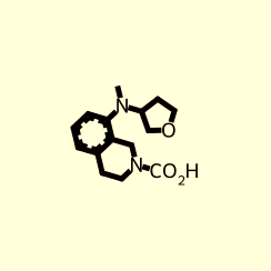 CN(c1cccc2c1CN(C(=O)O)CC2)C1CCOC1